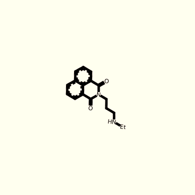 CCNCCCN1C(=O)c2cccc3cccc(c23)C1=O